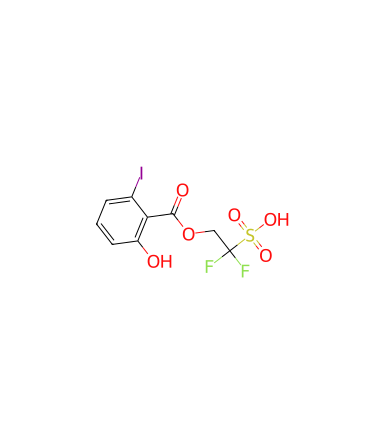 O=C(OCC(F)(F)S(=O)(=O)O)c1c(O)cccc1I